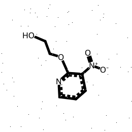 O=[N+]([O-])c1cccnc1OCCO